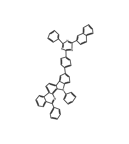 c1ccc(-c2nc(-c3ccc(-c4ccc5c(c4)c4ccc6c7ccccc7c(-c7ccccc7)nc6c4n5-c4ccccc4)cc3)nc(-c3ccc4ccccc4c3)n2)cc1